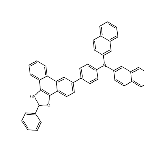 c1ccc(C2Nc3c(c4ccc(-c5ccc(N(c6ccc7ccccc7c6)c6ccc7ccccc7c6)cc5)cc4c4ccccc34)O2)cc1